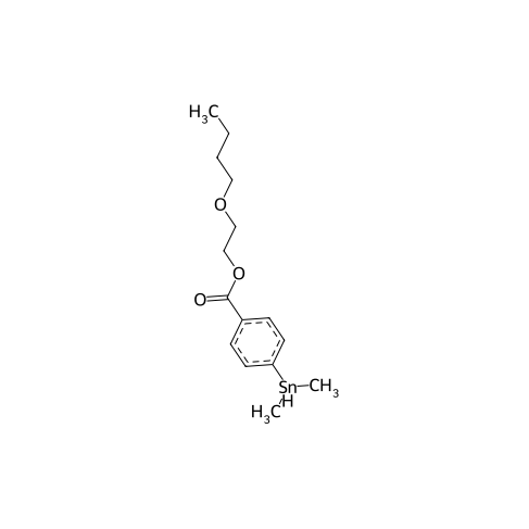 CCCCOCCOC(=O)c1cc[c]([SnH]([CH3])[CH3])cc1